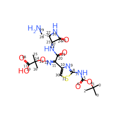 CC(C)(C)OC(=O)Nc1nc(C(=NOC(C)(C)C(=O)O)C(=O)N[C@@H]2C(=O)N[C@H]2CN)cs1